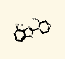 CC(C)[C@H]1COCCN1c1nc2c(C(=O)O)cccc2o1